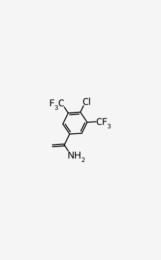 C=C(N)c1cc(C(F)(F)F)c(Cl)c(C(F)(F)F)c1